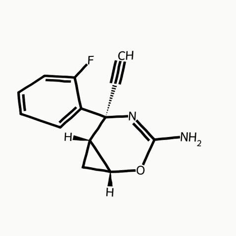 C#C[C@]1(c2ccccc2F)N=C(N)O[C@@H]2C[C@@H]21